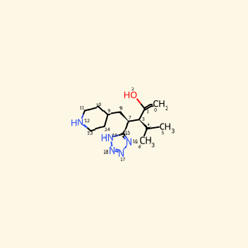 C=C(O)[C@@H](C(C)C)[C@H](CC1CCNCC1)c1nnn[nH]1